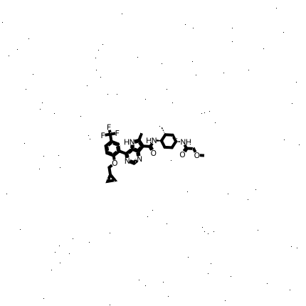 COCC(=O)N[C@@H]1CC[C@@H](NC(=O)c2c(C)[nH]c3c(-c4cc(C(F)(F)F)ccc4OCC4CC4)ncnc23)[C@H](C)C1